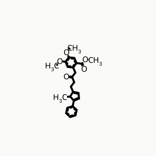 COC(=O)c1cc(OC)c(OC)cc1CC(=O)CCC1=CC=C(c2ccccc2)C1C